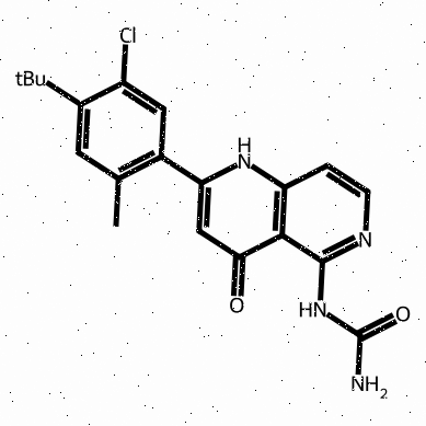 Cc1cc(C(C)(C)C)c(Cl)cc1-c1cc(=O)c2c(NC(N)=O)nccc2[nH]1